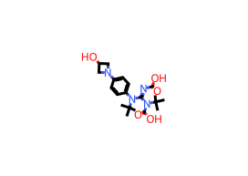 CC(C)(C)N(C(=O)O)C(=NC(=O)O)N(c1ccc(N2CC(O)C2)cc1)C(C)(C)C